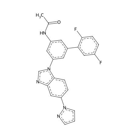 CC(=O)Nc1cc(-c2cc(F)ccc2F)cc(-n2cnc3cc(-n4cccn4)ccc32)c1